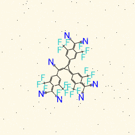 N#CC(C#N)=C1C(C(F)(F)F)=CC(C(C#N)=C2C(=c3cc(C(F)(F)F)c(=C(C#N)C#N)c(C(F)(F)F)c3)C2=c2cc(C(F)(F)F)c(=C(C#N)C#N)c(C(F)(F)F)c2)C=C1C(F)(F)F